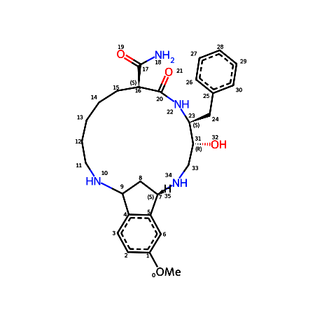 COc1ccc2c(c1)[C@@H]1CC2NCCCCC[C@@H](C(N)=O)C(=O)N[C@@H](Cc2ccccc2)[C@H](O)CN1